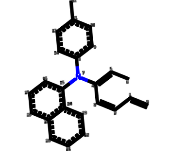 C=C/C=C\C(=C/C)N(c1ccc(C)cc1)c1cccc2ccccc12